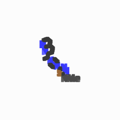 CNc1nnc(N2CCN(C(C)c3ccc4cccnc4n3)CC2)s1